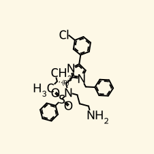 CC(C)[C@H](c1nc(-c2cccc(Cl)c2)cn1Cc1ccccc1)N(CCCN)S(=O)(=O)c1ccccc1